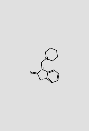 S=c1sc2ccccc2n1CN1CCCCC1